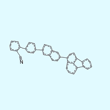 N#Cc1ccccc1-c1ccc(-c2ccc3cc(-c4ccc5c6c(cccc46)-c4ccccc4-5)ccc3c2)cc1